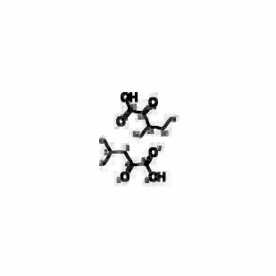 CC(C)CC(=O)C(=O)O.CCC(C)C(=O)C(=O)O